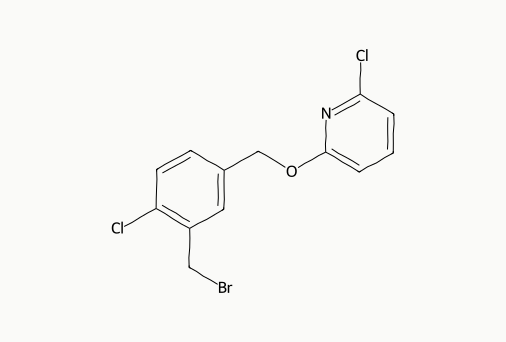 Clc1cccc(OCc2ccc(Cl)c(CBr)c2)n1